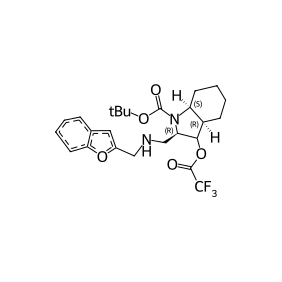 CC(C)(C)OC(=O)N1[C@H](CNCc2cc3ccccc3o2)C(OC(=O)C(F)(F)F)[C@@H]2CCCC[C@@H]21